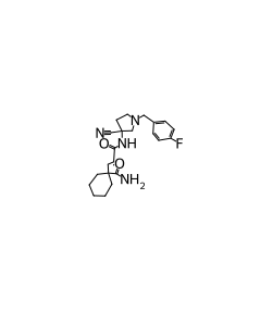 N#CC1(NC(=O)[CH]CC2(C(N)=O)CCCCC2)CCN(Cc2ccc(F)cc2)C1